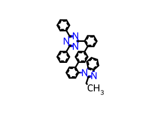 CCc1nc2ccccc2n1-c1ccccc1-c1ccc(-c2ccccc2-c2nc(-c3ccccc3)nc(-c3ccccc3)n2)cc1